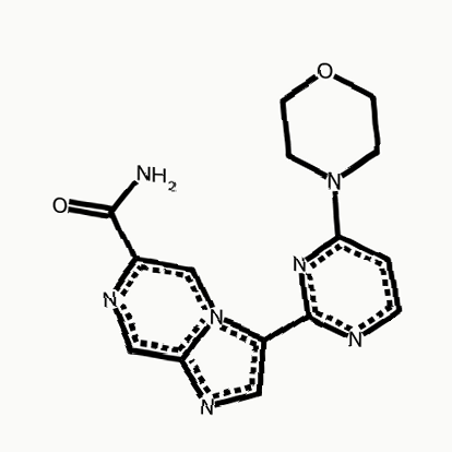 NC(=O)c1cn2c(-c3nccc(N4CCOCC4)n3)cnc2cn1